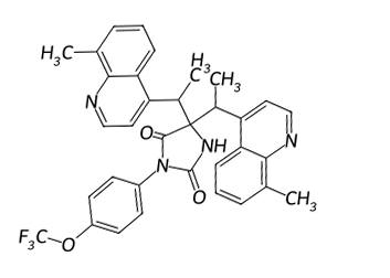 Cc1cccc2c(C(C)C3(C(C)c4ccnc5c(C)cccc45)NC(=O)N(c4ccc(OC(F)(F)F)cc4)C3=O)ccnc12